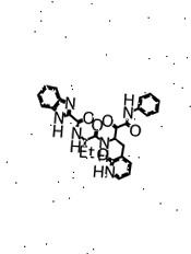 CCC(NC(=O)c1nc2ccccc2[nH]1)C(=O)NC(Cc1ccc[nH]c1=O)C(=O)C(=O)Nc1ccccc1